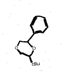 CC(C)(C)C1COCC(c2ccccc2)O1